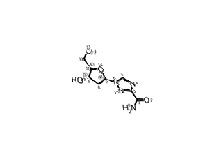 NC(=O)c1ncn([C@H]2C[C@H](O)[C@@H](CO)O2)n1